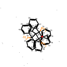 CC(C)C(C(P)(c1ccccc1)c1ccccc1)(C(P)(c1ccccc1)c1ccccc1)C(P)(c1ccccc1)c1ccccc1